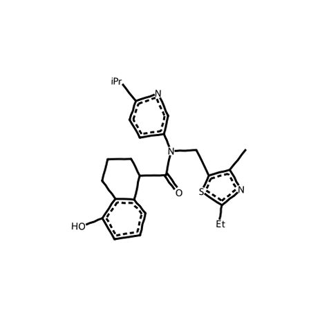 CCc1nc(C)c(CN(C(=O)C2CCCc3c(O)cccc32)c2ccc(C(C)C)nc2)s1